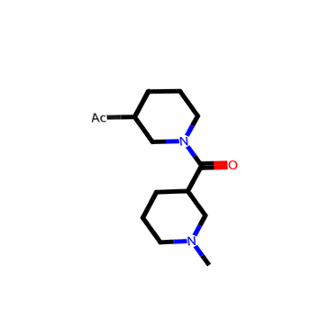 CC(=O)C1CCCN(C(=O)C2CCCN(C)C2)C1